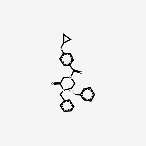 O=C(c1ccc(OC2CC2)cc1)N1CC(=O)N(Cc2ccccc2)[C@@H](Cc2ccccc2)C1